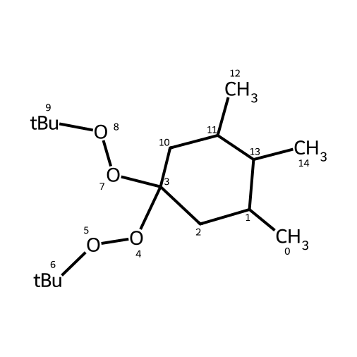 CC1CC(OOC(C)(C)C)(OOC(C)(C)C)CC(C)C1C